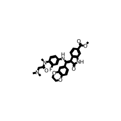 COC(=O)c1ccc2c(c1)NC(=O)C2=C(Nc1ccc(N(C)C(=O)CN(C)C)c(F)c1)c1ccc2c(c1)OCCO2